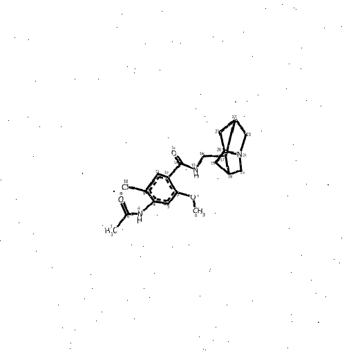 COc1cc(NC(C)=O)c(Cl)cc1C(=O)NCC1C2CC3CC1CN3C2